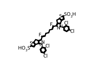 O=S(=O)(O)c1cc2c(s1)Cc1c(/C(F)=C/CCC/C=C(\F)c3nn(-c4ccc(Cl)cc4Cl)c4c3Cc3sc(S(=O)(=O)O)cc3-4)nn(-c3ccc(Cl)cc3Cl)c1-2